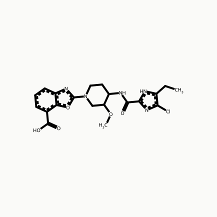 CCc1[nH]c(C(=O)NC2CCN(c3nc4cccc(C(=O)O)c4o3)CC2OC)nc1Cl